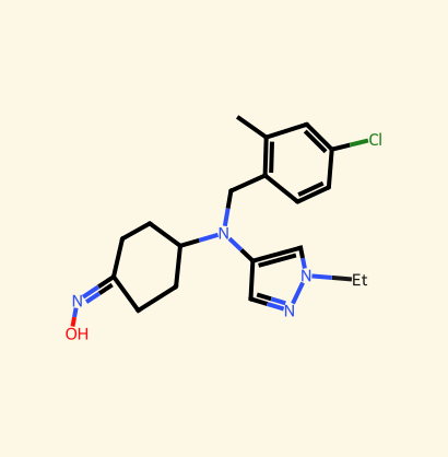 CCn1cc(N(Cc2ccc(Cl)cc2C)C2CCC(=NO)CC2)cn1